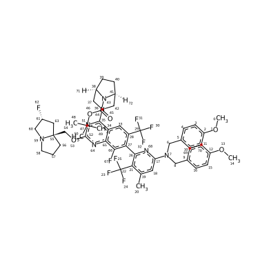 COc1ccc(CN(Cc2ccc(OC)cc2)c2cc(C)c(C(F)(F)F)c(-c3c(C(F)(F)F)cc4c(N5C[C@H]6CC[C@@H](C5)N6C(=O)OC(C)(C)C)nc(OC[C@@]56CCCN5C[C@H](F)C6)nc4c3F)n2)cc1